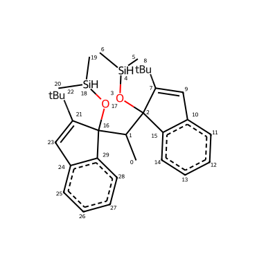 CC(C1(O[SiH](C)C)C(C(C)(C)C)=Cc2ccccc21)C1(O[SiH](C)C)C(C(C)(C)C)=Cc2ccccc21